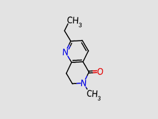 CCc1ccc2c(n1)CCN(C)C2=O